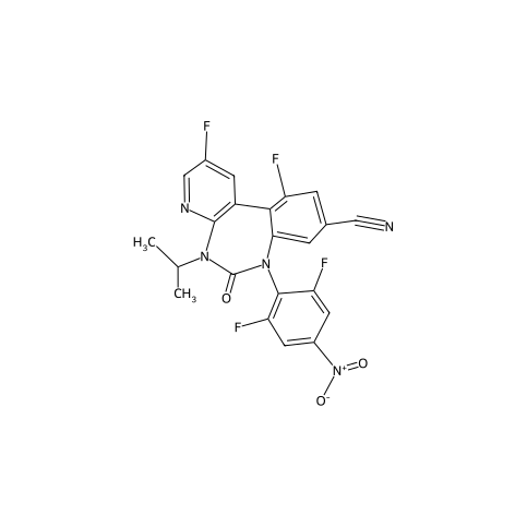 CC(C)N1C(=O)N(c2c(F)cc([N+](=O)[O-])cc2F)c2cc(C#N)cc(F)c2-c2cc(F)cnc21